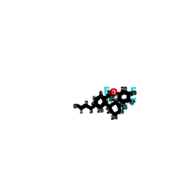 C/C=C/Cc1ccc(C(F)(F)Oc2cc(F)c(F)c(F)c2)c(C2CCCCC2)c1